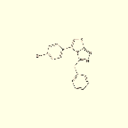 Brc1ccc(-c2csc3nnc(Cc4ccccc4)n23)cc1